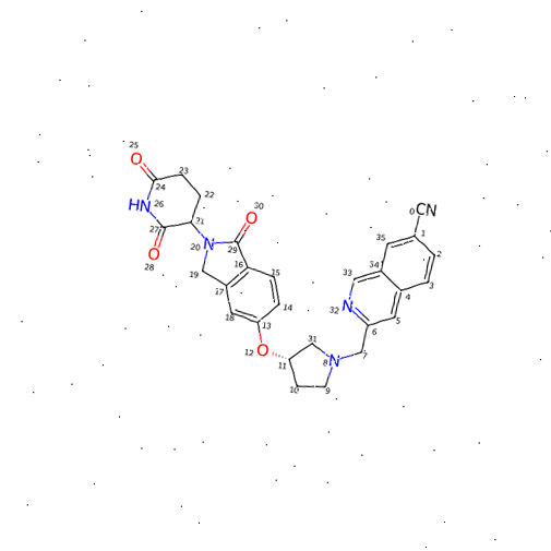 N#Cc1ccc2cc(CN3CC[C@H](Oc4ccc5c(c4)CN(C4CCC(=O)NC4=O)C5=O)C3)ncc2c1